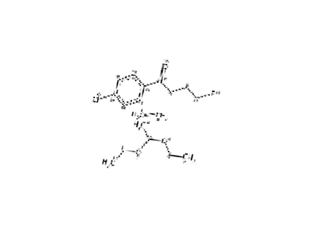 C=C.CCOC(C)OCC.O=C(CCCF)c1ccc(Cl)cc1